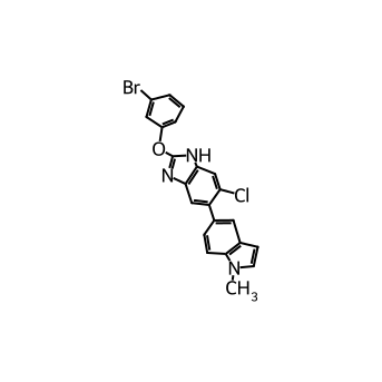 Cn1ccc2cc(-c3cc4nc(Oc5cccc(Br)c5)[nH]c4cc3Cl)ccc21